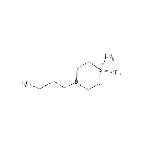 CCCCB1CCS(C)(C)CC1